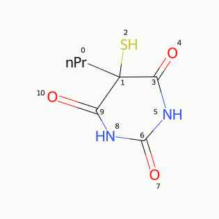 CCCC1(S)C(=O)NC(=O)NC1=O